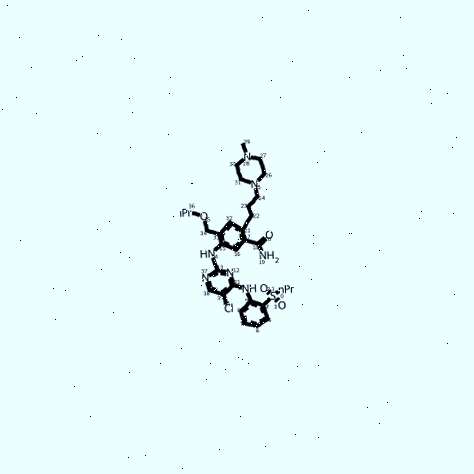 CCCS(=O)(=O)c1ccccc1Nc1nc(Nc2cc(C(N)=O)c(CCCN3CCN(C)CC3)cc2COC(C)C)ncc1Cl